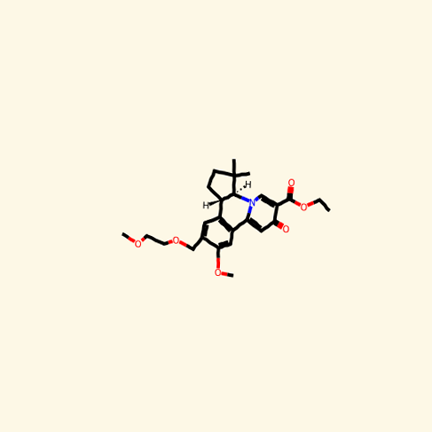 CCOC(=O)c1cn2c(cc1=O)-c1cc(OC)c(COCCOC)cc1[C@@H]1CCC(C)(C)[C@H]12